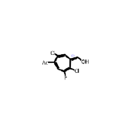 CC(=O)C1=CC(F)=C(Cl)/C(=C\O)C=C1Cl